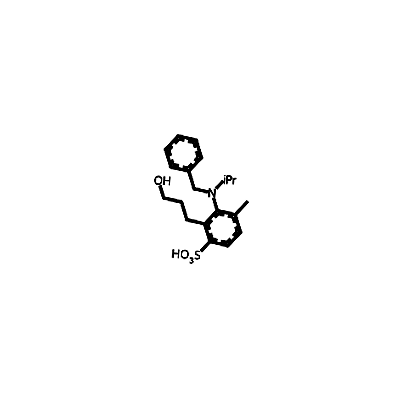 Cc1ccc(S(=O)(=O)O)c(CCCO)c1N(Cc1ccccc1)C(C)C